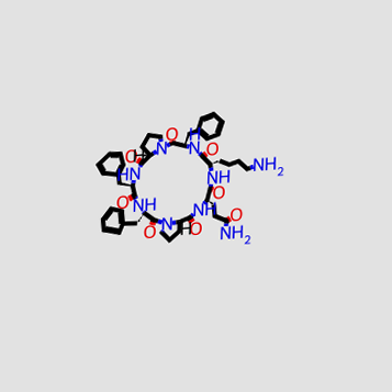 NCCCC[C@@H]1NC(=O)[C@H](CCC(N)=O)NC(=O)[C@H]2CCCN2C(=O)[C@H](Cc2ccccc2)NC(=O)[C@@H](Cc2ccccc2)NC(=O)[C@H]2CCCN2C(=O)[C@@H](Cc2ccccc2)NC1=O